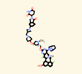 C#Cc1c(F)ccc2cc(O)cc(-c3ncc4c(N5CC6CCC(C5)N6)nc(OC[C@@H]5C[C@@H](OC6CCN(CC7CN(c8ccc9c(c8)CN(C8CCC(=O)NC8=O)C9=O)C7)CC6)CN5C)nc4c3F)c12